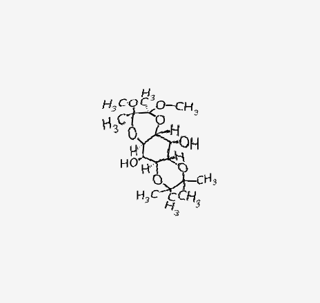 CO[C@@]1(C)O[C@@H]2[C@@H](O)[C@@H]3OC(C)(C)C(C)(C)O[C@H]3[C@@H](O)[C@H]2O[C@]1(C)OC